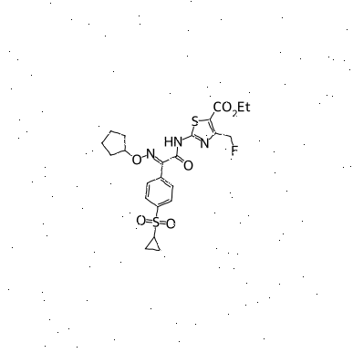 CCOC(=O)c1sc(NC(=O)/C(=N/OC2CCCC2)c2ccc(S(=O)(=O)C3CC3)cc2)nc1CF